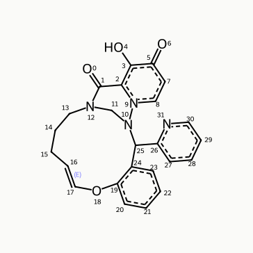 O=C1c2c(O)c(=O)ccn2N2CN1CCC/C=C/Oc1ccccc1C2c1ccccn1